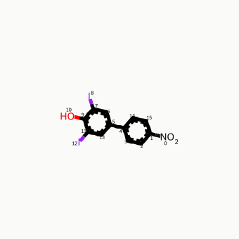 O=[N+]([O-])c1ccc(-c2cc(I)c(O)c(I)c2)cc1